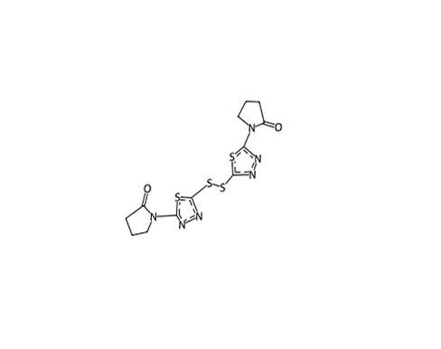 O=C1CCCN1c1nnc(SSc2nnc(N3CCCC3=O)s2)s1